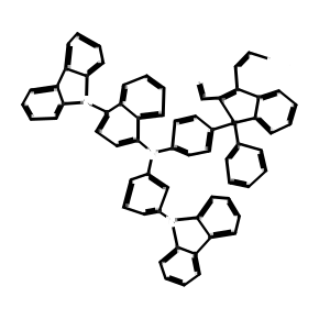 C=CC1=C(/C=C\C)c2ccccc2C1(c1ccccc1)c1ccc(N(c2cccc(-n3c4ccccc4c4ccccc43)c2)c2ccc(-n3c4ccccc4c4ccccc43)c3ccccc23)cc1